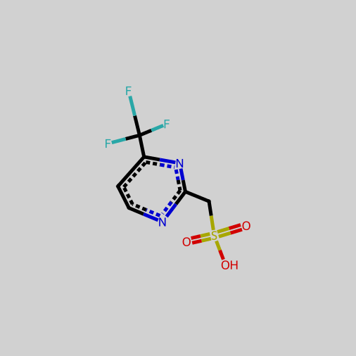 O=S(=O)(O)Cc1nccc(C(F)(F)F)n1